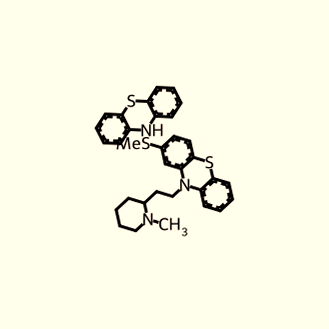 CSc1ccc2c(c1)N(CCC1CCCCN1C)c1ccccc1S2.c1ccc2c(c1)Nc1ccccc1S2